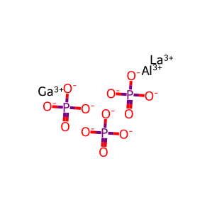 O=P([O-])([O-])[O-].O=P([O-])([O-])[O-].O=P([O-])([O-])[O-].[Al+3].[Ga+3].[La+3]